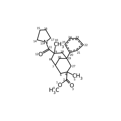 COC(=O)C1(C)CC2CC(C)(C(=O)N3CCCC3)CC(c3ccccc3)(C2)C1